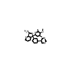 COc1c(C)cc(C2(c3cccc(-c4cncnc4)c3)N=C(N)c3ncccc32)nc1C